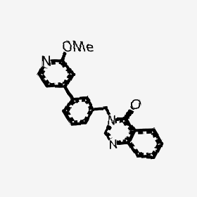 COc1cc(-c2cccc(Cn3cnc4ccccc4c3=O)c2)ccn1